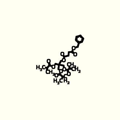 C=C(C)C(=O)OCC(COC(=O)CCC(=O)OCc1ccccc1)(COC(=O)C(=C)C)COC(=O)C(=C)C